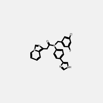 O=C(Cc1ncn2ccccc12)N(Cc1cc(F)cc(Cl)c1)c1ccc(-c2c[nH]cn2)cc1